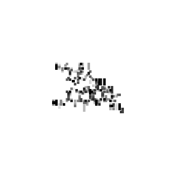 C[C@@H]1CN(c2cc(N)cc(Nc3nc(NC4CC4)c4ncc(N)n4n3)c2Cl)C[C@H]1O